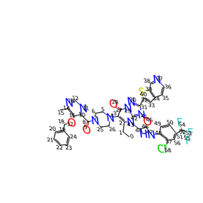 CCc1c(N2CCN(C(=O)c3ncnc(C)c3OCc3ccccc3)CC2)c(=O)n2nc(-c3cc4ccncc4s3)nc2n1CC(=O)Nc1ccc(C(F)(F)F)cc1Cl